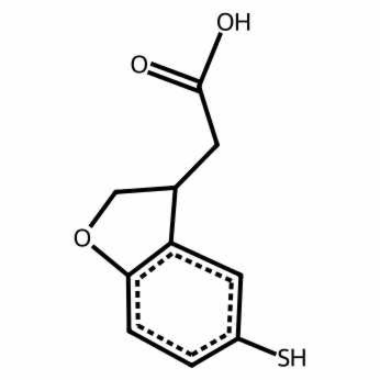 O=C(O)CC1COc2ccc(S)cc21